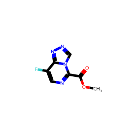 COC(=O)c1ncc(F)c2nncn12